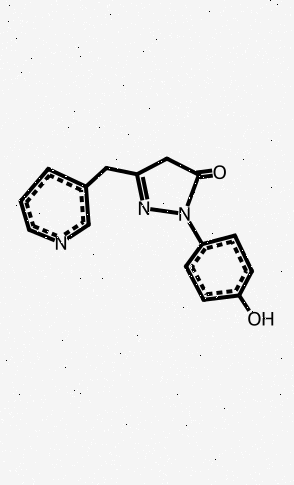 O=C1CC(Cc2cccnc2)=NN1c1ccc(O)cc1